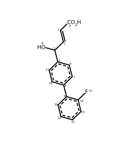 O=C(O)C=CC(O)c1ccc(-c2ccccc2F)cc1